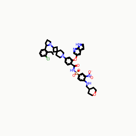 CCc1c(Cl)cccc1C1CCCN1C1CC2(CCN(c3ccc(C(=O)NS(=O)(=O)c4ccc(NCC5CCOCC5)c([N+](=O)[O-])c4)c(Oc4cnc5[nH]ccc5c4)c3)CC2)C1